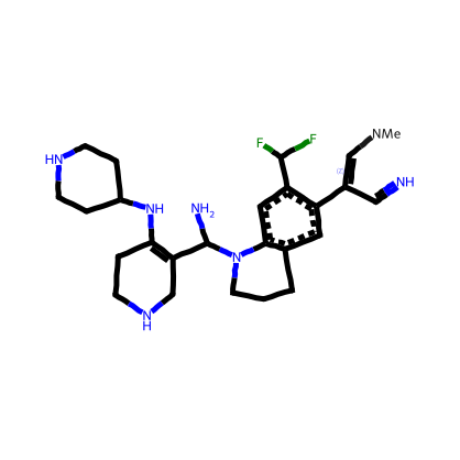 CN/C=C(\C=N)c1cc2c(cc1C(F)F)N(C(N)C1=C(NC3CCNCC3)CCNC1)CCC2